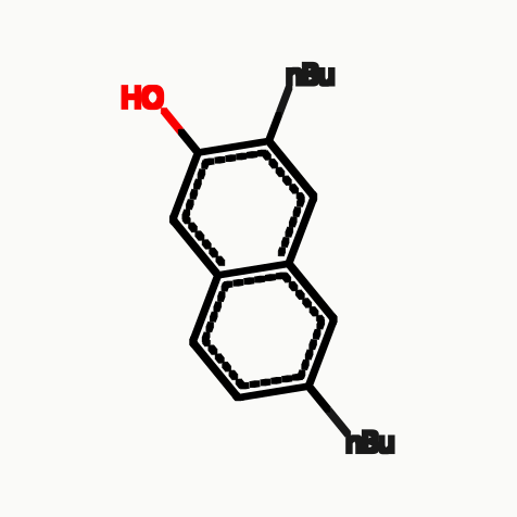 CCCCc1ccc2cc(O)c(CCCC)cc2c1